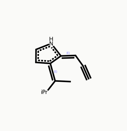 C#C/C=c1/[nH]cc/c1=C(/C)C(C)C